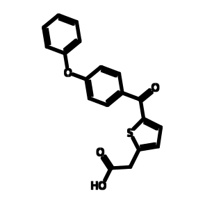 O=C(O)Cc1ccc(C(=O)c2ccc(Oc3ccccc3)cc2)s1